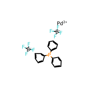 F[B-](F)(F)F.F[B-](F)(F)F.[Pd+2].c1ccc(P(c2ccccc2)c2ccccc2)cc1